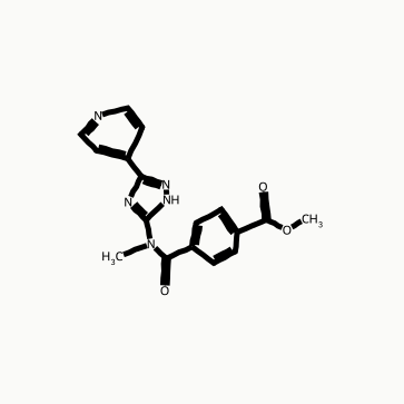 COC(=O)c1ccc(C(=O)N(C)c2nc(-c3ccncc3)n[nH]2)cc1